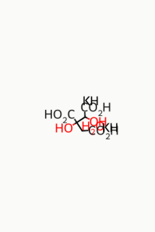 O.O=C(O)CC(O)(C(=O)O)C(O)C(=O)O.[KH].[KH]